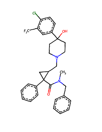 CN(Cc1ccccc1)C(=O)C1(c2ccccc2)CC1CN1CCC(O)(c2ccc(Cl)c(C(F)(F)F)c2)CC1